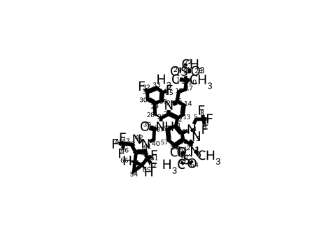 CN(c1nn(CC(F)(F)F)c2c(-c3ccc(CCC(C)(C)S(C)(=O)=O)nc3[C@H](Cc3cc(F)cc(F)c3)NC(=O)Cn3nc(C(F)(F)F)c4c3C(F)(F)[C@@H]3C[C@H]43)ccc(Cl)c12)S(C)(=O)=O